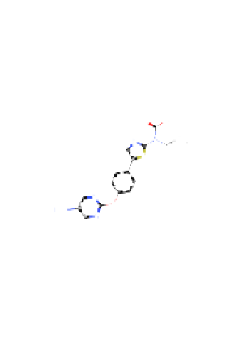 CCN(C(=O)O)c1ncc(-c2ccc(Oc3ncc(N)cn3)cc2)s1